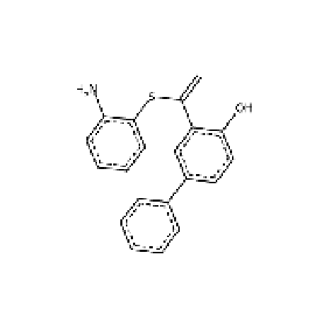 C=C(Sc1ccccc1N)c1cc(-c2ccccc2)ccc1O